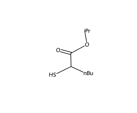 CCCCC(S)C(=O)OC(C)C